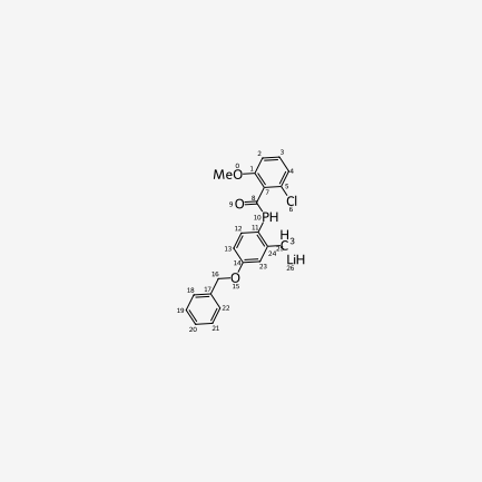 COc1cccc(Cl)c1C(=O)Pc1ccc(OCc2ccccc2)cc1C.[LiH]